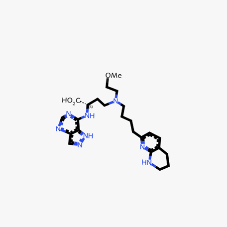 COCCN(CCCCc1ccc2c(n1)NCCC2)CC[C@H](Nc1ncnc2cn[nH]c12)C(=O)O